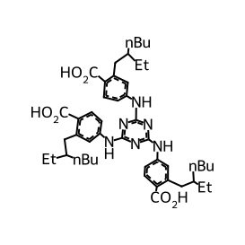 CCCCC(CC)Cc1cc(Nc2nc(Nc3ccc(C(=O)O)c(CC(CC)CCCC)c3)nc(Nc3ccc(C(=O)O)c(CC(CC)CCCC)c3)n2)ccc1C(=O)O